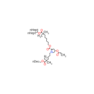 C=CC(=O)OC1C[C@@H](C(=O)OCCCCCCC(C)(C)C(=O)OC(CCCCCCC)CCCCCCC)N(CCCCC(C)(C)C(=O)OCCCCCCCCCCC)C1